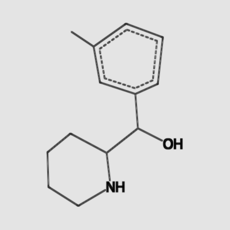 Cc1cccc(C(O)C2CCCCN2)c1